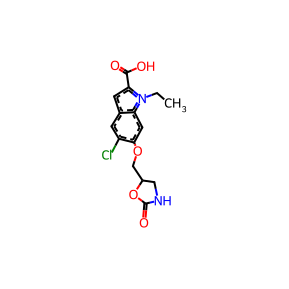 CCn1c(C(=O)O)cc2cc(Cl)c(OCC3CNC(=O)O3)cc21